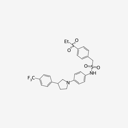 CCS(=O)(=O)c1ccc(CS(=O)(=O)Nc2ccc(N3CCC(c4ccc(C(F)(F)F)cc4)C3)cc2)cc1